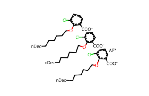 CCCCCCCCCCCCCCCCOc1c(Cl)cccc1C(=O)[O-].CCCCCCCCCCCCCCCCOc1c(Cl)cccc1C(=O)[O-].CCCCCCCCCCCCCCCCOc1c(Cl)cccc1C(=O)[O-].[Al+3]